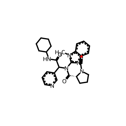 Cn1c(N(C(=O)[C@H]2CCCN2C#N)C(C(=O)NC2CCCCC2)c2cccnc2)nc2ccccc21